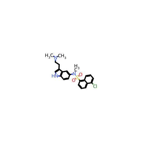 CN(C)CCc1c[nH]c2ccc(N(C)S(=O)(=O)c3cccc4c(Cl)cccc34)cc12